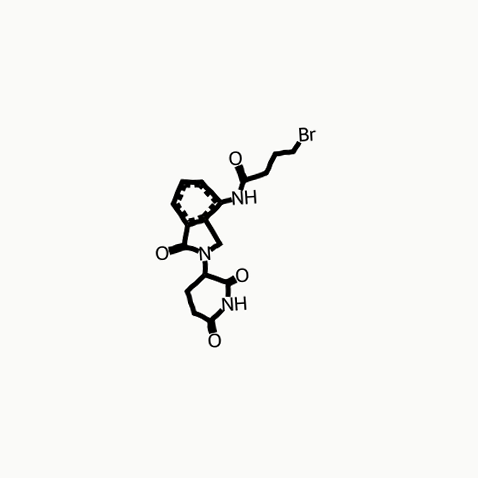 O=C1CCC(N2Cc3c(NC(=O)CCCBr)cccc3C2=O)C(=O)N1